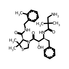 Cc1ccccc1CNC(=O)[C@H]1N(C(=O)[C@@H](O)[C@H](Cc2ccccc2)NC(=O)C(C)(C)CN)CSC1(C)C